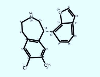 Oc1cc2c(cc1Cl)CCNC[C@@H]2c1cccc2ccoc12